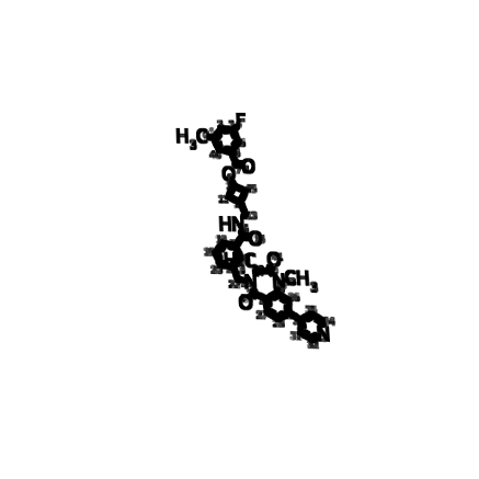 Cc1cc(F)cc(C(=O)OC2CC(CNC(=O)c3cccc(CN4C(=O)c5ccc(-c6ccncc6)cc5N(C)C(=O)[C@H]4C)c3)C2)c1